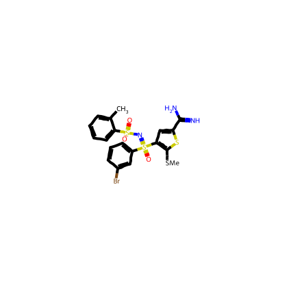 CSc1sc(C(=N)N)cc1S(=O)(=NS(=O)(=O)c1ccccc1C)c1cccc(Br)c1